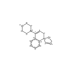 COC1(C=O)CC=C(N2CCOCC2)c2ccccc21